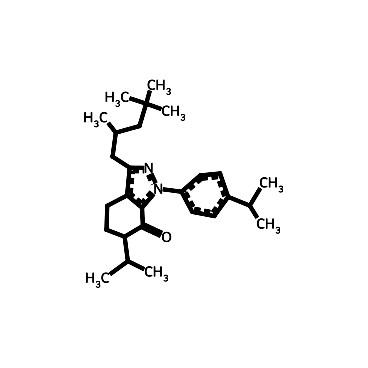 CC(Cc1nn(-c2ccc(C(C)C)cc2)c2c1CCC(C(C)C)C2=O)CC(C)(C)C